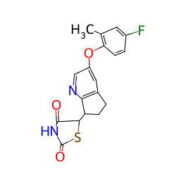 Cc1cc(F)ccc1Oc1cnc2c(c1)CCC2C1SC(=O)NC1=O